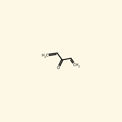 C=[C]C(=O)C=C